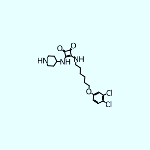 O=c1c(NCCCCCCOc2ccc(Cl)c(Cl)c2)c(NC2CCNCC2)c1=O